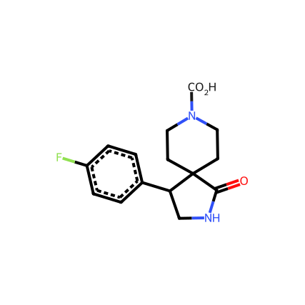 O=C(O)N1CCC2(CC1)C(=O)NCC2c1ccc(F)cc1